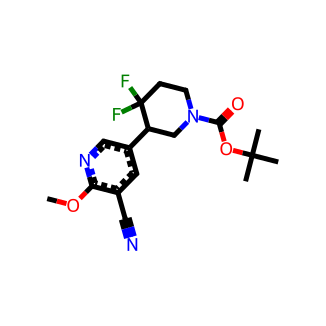 COc1ncc(C2CN(C(=O)OC(C)(C)C)CCC2(F)F)cc1C#N